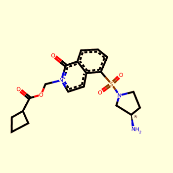 N[C@@H]1CCN(S(=O)(=O)c2cccc3c(=O)n(COC(=O)C4CCC4)ccc23)C1